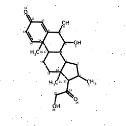 CC1CC2C3C(O)C(O)C4=CC(=O)C=CC4(C)C3CCC2(C)C1C(=O)CO